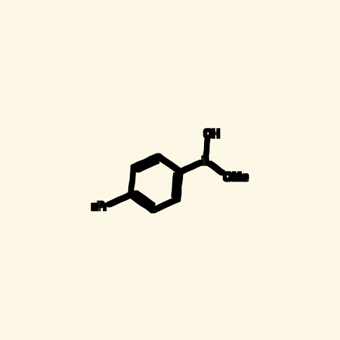 CCCc1ccc(B(O)OC)cc1